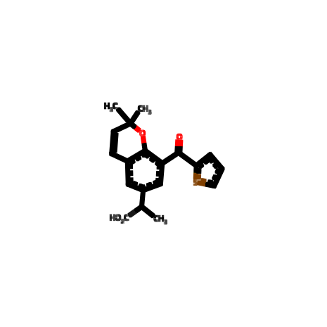 CC(C(=O)O)c1cc2c(c(C(=O)c3cccs3)c1)OC(C)(C)C=C2